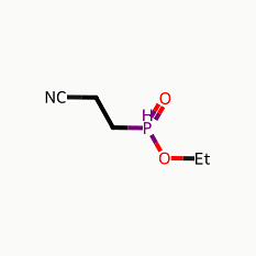 CCO[PH](=O)CCC#N